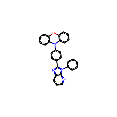 c1ccc(-n2c(-c3ccc(N4c5ccccc5Oc5ccccc54)cc3)nc3cccnc32)cc1